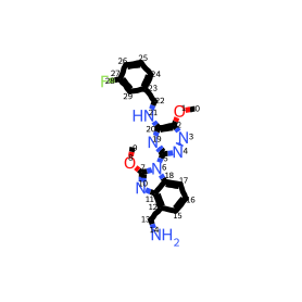 COc1nnc(-n2c(OC)nc3c(CN)cccc32)nc1NCc1cccc(F)c1